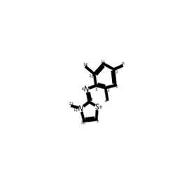 Cc1cc(C)c(N=c2sccn2C)c(C)c1